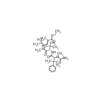 BC(=O)N(C)[C@H](C(=O)N[C@H](C(=O)N(C)[C@H](/C=C(\C)C(=O)OCC)C(C)C)C(C)(C)C)C(C)(C)c1ccccc1